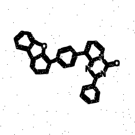 O=c1nc(-c2ccccc2)nc2c(-c3ccc(-c4cccc5c4oc4ccccc45)cc3)cccn12